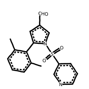 Cc1cccc(C)c1-c1cc(C=O)cn1S(=O)(=O)c1cccnc1